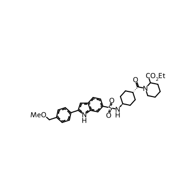 CCOC(=O)C1CCCCN1C(=O)[C@H]1CC[C@H](NS(=O)(=O)c2ccc3cc(-c4ccc(COC)cc4)[nH]c3c2)CC1